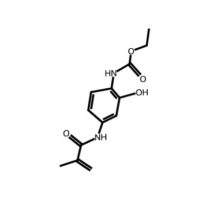 C=C(C)C(=O)Nc1ccc(NC(=O)OCC)c(O)c1